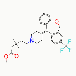 COC(=O)CC(C)(C)CCN1CCC(=C2c3ccc(C(F)(F)F)cc3COc3ccccc32)CC1